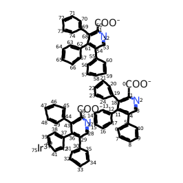 O=C([O-])c1ncc(-c2ccccc2)c(-c2ccccc2)c1-c1ccccc1.O=C([O-])c1ncc(-c2ccccc2)c(-c2ccccc2)c1-c1ccccc1.O=C([O-])c1ncc(-c2ccccc2)c(-c2ccccc2)c1-c1ccccc1.[Ir+3]